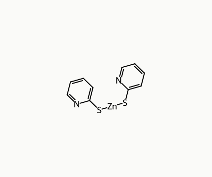 c1ccc([S][Zn][S]c2ccccn2)nc1